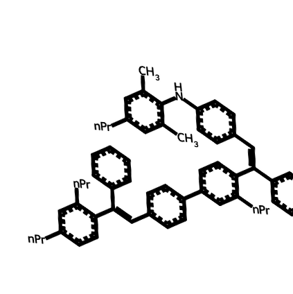 CCCc1cc(C)c(Nc2ccc(C=C(c3ccccc3)c3ccc(-c4ccc(C=C(c5ccccc5)c5ccc(CCC)cc5CCC)cc4)cc3CCC)cc2)c(C)c1